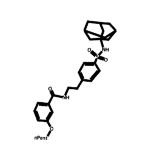 CCCCCOc1cccc(C(=O)NCCc2ccc(S(=O)(=O)NC34CC5CC(CC(C5)C3)C4)cc2)c1